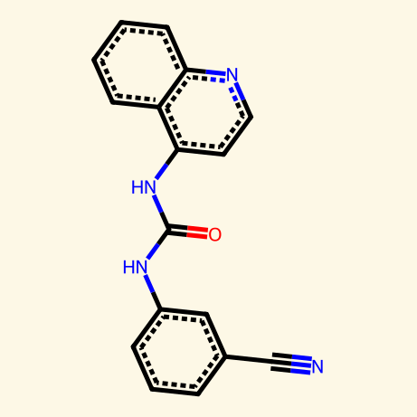 N#Cc1cccc(NC(=O)Nc2ccnc3ccccc23)c1